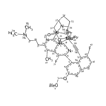 COCOc1cc(-c2ncc3c(N4CC5CCC(C4)N5C(=O)OC(C)(C)C)nc(CCCN(C)C)c(C)c3c2F)c2c(C#C[Si](C(C)C)(C(C)C)C(C)C)c(F)ccc2c1